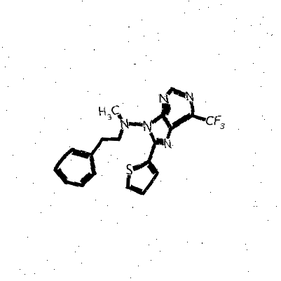 CN(CCc1ccccc1)n1c(-c2cccs2)nc2c(C(F)(F)F)ncnc21